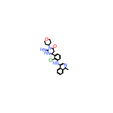 Cc1ncc(Nc2cccc([C@]3(C)CC(=O)N(C4CCOCC4)C(=N)N3)c2Cl)c2ccccc12